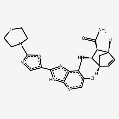 NC(=O)[C@@H]1[C@H](Nc2c(Cl)cnc3[nH]c(-c4cnc(N5CCOCC5)s4)nc23)[C@H]2C=C[C@@H]1C2